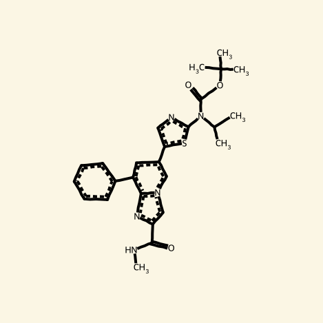 CNC(=O)c1cn2cc(-c3cnc(N(C(=O)OC(C)(C)C)C(C)C)s3)cc(-c3ccccc3)c2n1